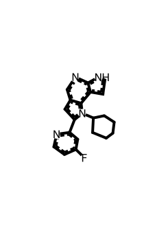 Fc1ccnc(-c2cc3cnc4[nH]ccc4c3n2C2CCCCC2)c1